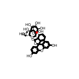 O=C1OC2(C3=CC=CC([C@@H]4O[C@H](CO)[C@H](O)[C@H](O)[C@H]4O)C13[C@@H]1O[C@H](CO)[C@H](O)[C@H](O)[C@H]1O)c1ccc(O)cc1Oc1cc(O)ccc12